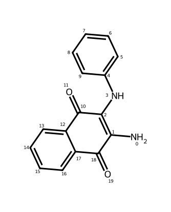 NC1=C(Nc2ccccc2)C(=O)c2ccccc2C1=O